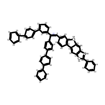 C(=C(/c1ccc(-c2ccc(-c3ccccc3)cc2)cc1)c1cccc(-c2ccc(-c3ccccc3)cc2)c1)/c1ccc2c(c1)oc1cc3nc(-c4ccccc4)oc3cc12